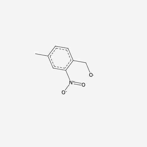 Cc1ccc(C[O])c([N+](=O)[O-])c1